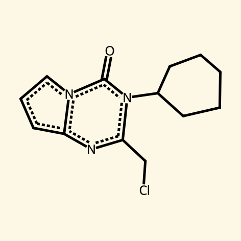 O=c1n(C2CCCCC2)c(CCl)nc2cccn12